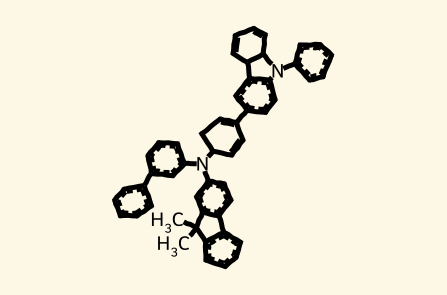 CC1(C)c2ccccc2-c2ccc(N(c3cccc(-c4ccccc4)c3)C3C=CC(c4ccc5c(c4)C4C=CC=CC4N5c4ccccc4)=CC3)cc21